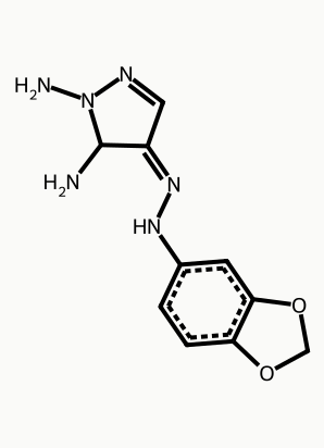 NC1C(=NNc2ccc3c(c2)OCO3)C=NN1N